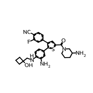 N#Cc1ccc(-c2cc(C(=O)N3CCCC(N)C3)sc2-c2ccc(NCC3(O)CCC3)c(N)c2)cc1F